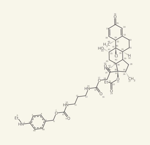 CCNc1ccc(COC(=O)NCCCNC(=O)OCC(=O)[C@@]2(OC(=O)CC)[C@@H](C)CC3[C@@H]4CCC5=CC(=O)C=C[C@]5(C)[C@@]4(Cl)[C@@H](O)C[C@@]32C)cc1